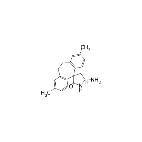 Cc1ccc2c(c1)CCc1cc(C)ccc1C21C[C@H](N)NC1=O